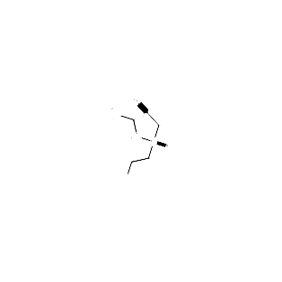 CCCP(=O)(CC#N)OCC